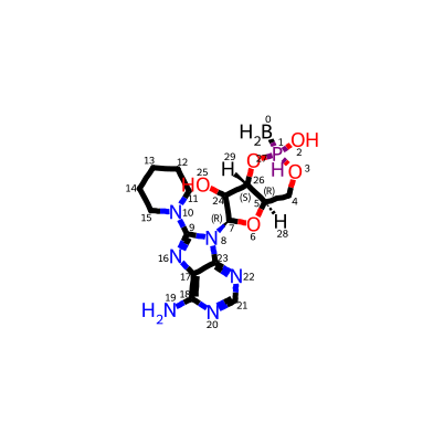 B[PH]1(O)OC[C@H]2O[C@@H](n3c(N4CCCCC4)nc4c(N)ncnc43)C(O)[C@@H]2O1